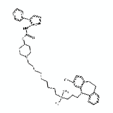 C[N+](C)(CCCCCCCCCN1CCC(OC(=O)Nc2ccccc2-c2ccccc2)CC1)CCCN1c2ccccc2CCc2ccc(Cl)cc21